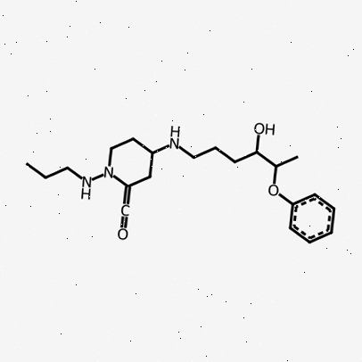 CCCNN1CCC(NCCCC(O)C(C)Oc2ccccc2)CC1=C=O